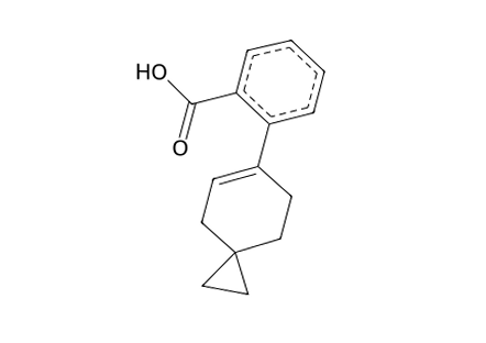 O=C(O)c1ccccc1C1=CCC2(CC1)CC2